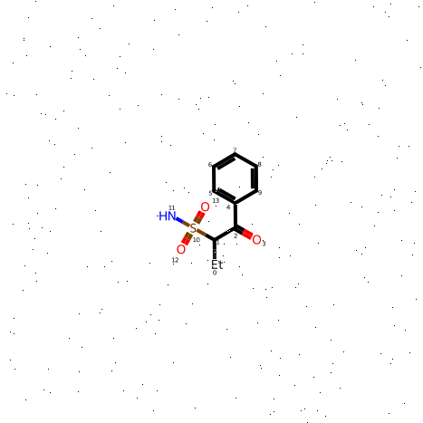 CCC(C(=O)c1ccccc1)S([NH])(=O)=O